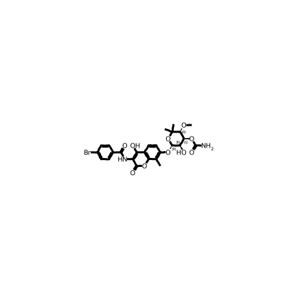 CO[C@@H]1[C@@H](OC(N)=O)[C@@H](O)[C@H](Oc2ccc3c(O)c(NC(=O)c4ccc(Br)cc4)c(=O)oc3c2C)OC1(C)C